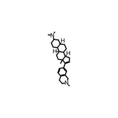 CN1CCc2ccc(C3=CC[C@H]4C5CC[C@H]6CC(N(C)C)CCC6[C@H]5CCC34C)cc2C1